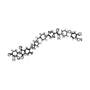 N#Cc1ccc(O[C@H]2CC[C@H](NC(=O)c3cnc(N4CCC(CN5CCC6(C5)CN(c5cc7c(cc5F)C(=O)N(C5CCC(=O)NC5=O)C7=O)C6)CC4)cn3)CC2)cc1Cl